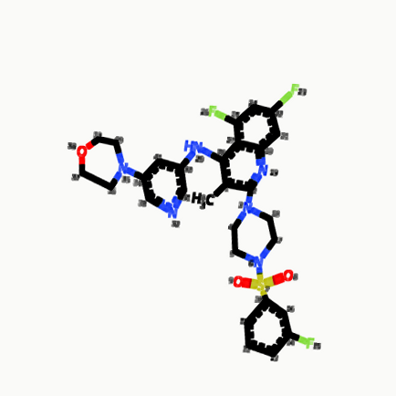 Cc1c(N2CCN(S(=O)(=O)c3cccc(F)c3)CC2)nc2cc(F)cc(F)c2c1Nc1cncc(N2CCOCC2)c1